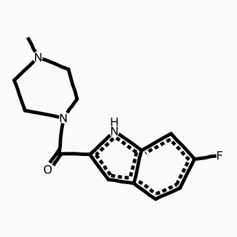 CN1CCN(C(=O)c2cc3ccc(F)cc3[nH]2)CC1